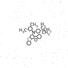 Cc1cc(C)cc(N(c2ccc(C(C)(C)C)cc2)c2cc3c(c4oc5ccccc5c24)-c2ccccc2C3)c1